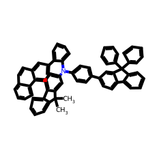 CC1(C)c2ccccc2-c2ccc(N(c3ccc(-c4ccc5c(c4)C(c4ccccc4)(c4ccccc4)c4ccccc4-5)cc3)c3ccccc3-c3ccc4c(ccc5ccccc54)c3)cc21